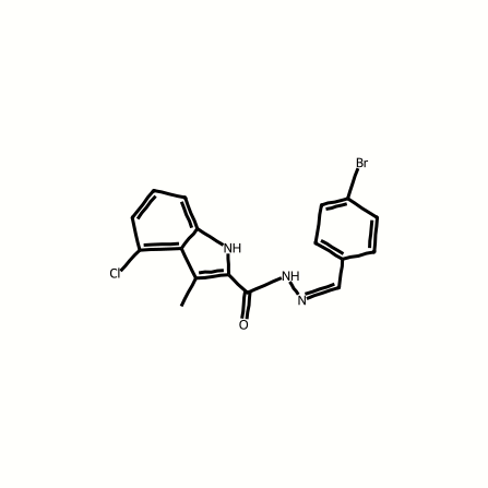 Cc1c(C(=O)N/N=C\c2ccc(Br)cc2)[nH]c2cccc(Cl)c12